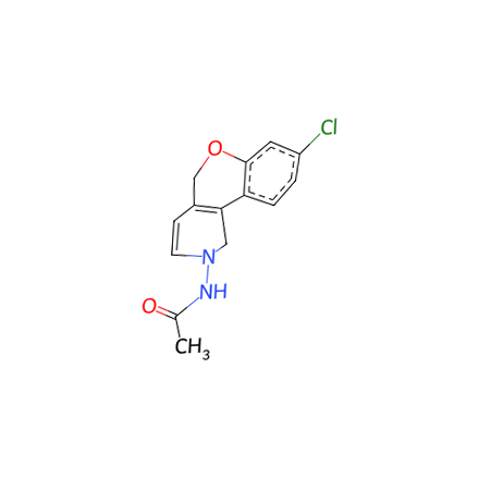 CC(=O)NN1C=CC2=C(C1)c1ccc(Cl)cc1OC2